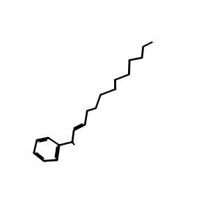 CCCCCCCCCCC=CC(C)c1ccccc1